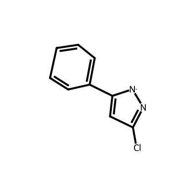 ClC1=N[N]C(c2ccccc2)=C1